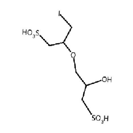 O=S(=O)(O)CC(O)COC(CI)CS(=O)(=O)O